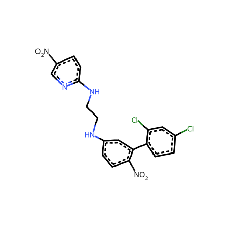 O=[N+]([O-])c1ccc(NCCNc2ccc([N+](=O)[O-])c(-c3ccc(Cl)cc3Cl)c2)nc1